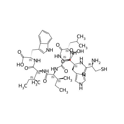 CC[C@H](C)[C@H](NC(=O)[C@H](CC(=O)O)NC(=O)[C@H](CC(C)C)NC(=O)[C@H](Cc1c[nH]cn1)NC(=O)[C@@H](N)CS)C(=O)N[C@H](C(=O)N[C@@H](Cc1c[nH]c2ccccc12)C(=O)O)[C@@H](C)CC